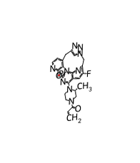 C=CC(=O)N1CCN(c2nc(=O)n3c4nc(c(F)cc24)Cn2cc(nn2)Cc2ccnc(C(C)C)c2-3)[C@@H](C)C1